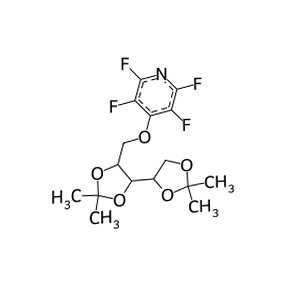 CC1(C)OCC(C2OC(C)(C)OC2COc2c(F)c(F)nc(F)c2F)O1